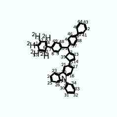 [2H]c1c([2H])c([2H])c(-c2ccc(C(C3=CC=C(c4ccc5c(c4)c4ccccc4n5-c4ccccc4)C3)c3ccc(-c4ccccc4)cc3)cc2)c([2H])c1[2H]